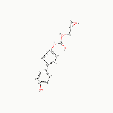 O=C(OCC1CO1)Oc1ccc(-c2ccc(O)cc2)cc1